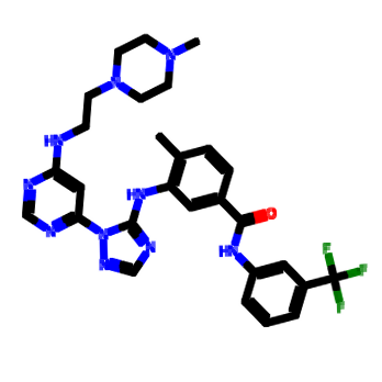 Cc1ccc(C(=O)Nc2cccc(C(F)(F)F)c2)cc1Nc1ncnn1-c1cc(NCCN2CCN(C)CC2)ncn1